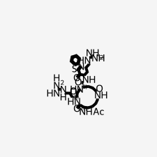 CC(=O)N[C@H]1CCCCNC(=O)CC[C@@H](C(=O)NC(CCCNC(=N)N)C(=O)c2nc3ccccc3s2)NC(=O)[C@H](CCCNC(=N)N)NC1=O